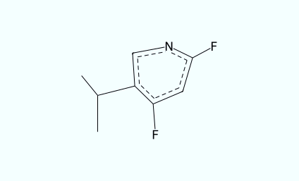 CC(C)c1cnc(F)cc1F